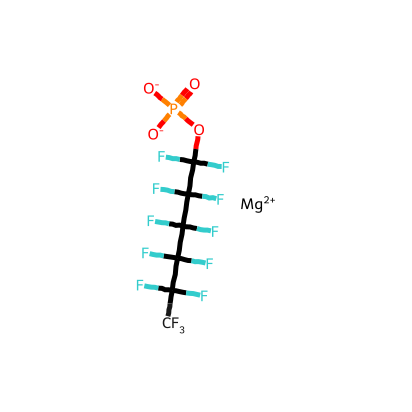 O=P([O-])([O-])OC(F)(F)C(F)(F)C(F)(F)C(F)(F)C(F)(F)C(F)(F)F.[Mg+2]